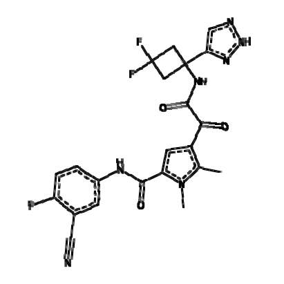 Cc1c(C(=O)C(=O)NC2(c3cn[nH]n3)CC(F)(F)C2)cc(C(=O)Nc2ccc(F)c(C#N)c2)n1C